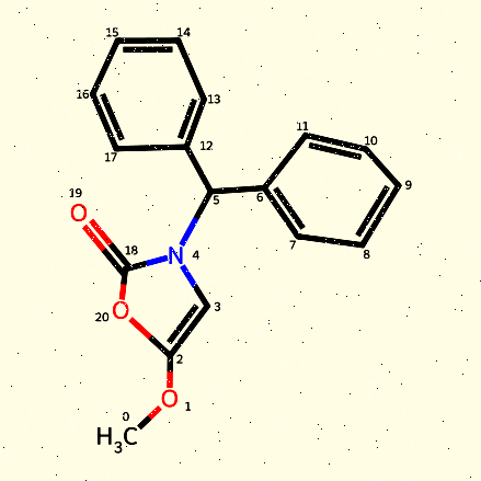 COc1cn(C(c2ccccc2)c2ccccc2)c(=O)o1